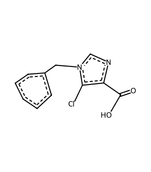 O=C(O)c1ncn(Cc2ccccc2)c1Cl